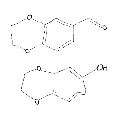 O=Cc1ccc2c(c1)OCCO2.Oc1ccc2c(c1)OCCO2